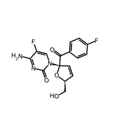 Nc1nc(=O)n([C@@]2(C(=O)c3ccc(F)cc3)C=C[C@@H](CO)O2)cc1F